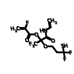 C=CNC(=O)C(OCCC(F)(F)S)(OC(=O)C(=C)F)C(F)(F)F